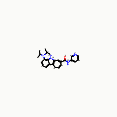 CC(C)N(c1cccc2c3c([nH]c12)C=C(C(=O)Nc1cccnc1)C=CC3)C(C)C